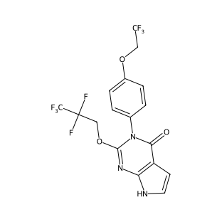 O=c1c2cc[nH]c2nc(OCC(F)(F)C(F)(F)F)n1-c1ccc(OCC(F)(F)F)cc1